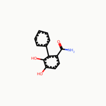 NC(=O)c1ccc(O)c(O)c1-c1ccccc1